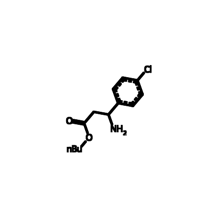 CCCCOC(=O)CC(N)c1ccc(Cl)cc1